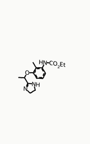 CCOC(=O)Nc1cccc(OC(C)C2=NCCN2)c1C